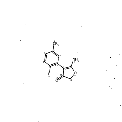 NC1=C(c2cc(C(F)(F)F)ccc2F)C(=O)CO1